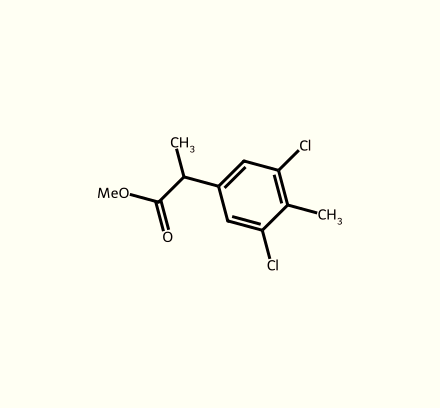 COC(=O)C(C)c1cc(Cl)c(C)c(Cl)c1